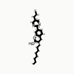 CCCCCCCC[C@H](Cc1ccc(-c2ncc(CCC)cn2)cc1)C(=O)O